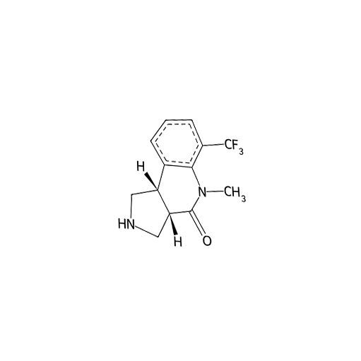 CN1C(=O)[C@@H]2CNC[C@@H]2c2cccc(C(F)(F)F)c21